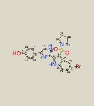 O=S(=O)(c1c(-c2nc(-c3ccc(O)cc3)c[nH]2)[nH]c2ccc(Br)cc12)N1CCCC1